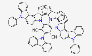 N#Cc1c(-n2c3ccccc3c3ccccc32)c(C#N)c(-n2c3ccccc3c3c4c5ccccc5n(-c5ccccc5)c4ccc32)c(-n2c3ccccc3c3ccccc32)c1-n1c2ccccc2c2c3c4ccccc4n(-c4ccccc4)c3ccc21